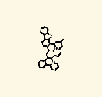 C=CCC1C(CCc2ccc3c(oc4ccccc43)c2-c2cc(C)cc[n+]2C)c2ccccc2-c2cccc[n+]21